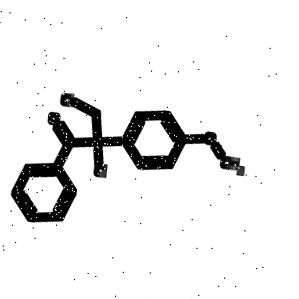 COc1ccc(C(Cl)(CCl)C(=O)c2ccccc2)cc1